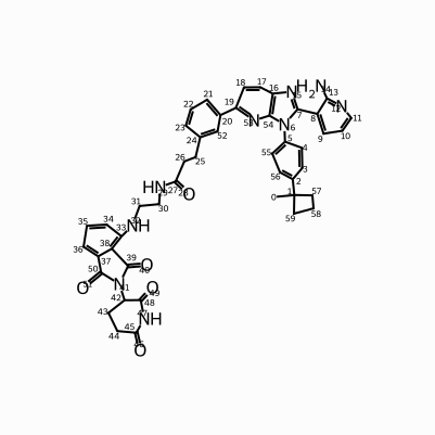 CC1(c2ccc(-n3c(-c4cccnc4N)nc4ccc(-c5cccc(CCC(=O)NCCNc6cccc7c6C(=O)N(C6CCC(=O)NC6=O)C7=O)c5)nc43)cc2)CCC1